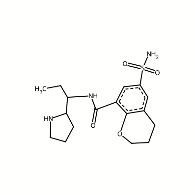 CCC(NC(=O)c1cc(S(N)(=O)=O)cc2c1OCCC2)C1CCCN1